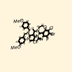 COc1ccc(CN(Cc2ccc(OC)cc2)c2ncccc2C(C)N2CCOc3c(Cl)c(Br)c(F)c4nc(Cl)nc2c34)cc1